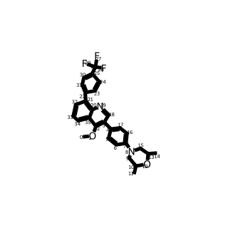 COc1c(-c2ccc(N3CC(C)OC(C)C3)cc2)cnc2c(-c3ccc(C(F)(F)F)cc3)cccc12